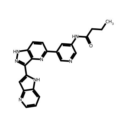 CCCC(=O)Nc1cncc(-c2ccc3[nH]nc(-c4cc5ncccc5[nH]4)c3n2)c1